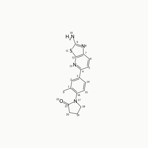 Cc1cc(-c2ccc3nc(N)sc3n2)ccc1N1CCCC1=O